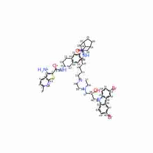 Cc1ccc2c(N)c(C(=O)NC3CCc4cc(N5CC6CCC(C5)C6C(=O)NCCCCCN5CCN(CC(O)Cn6c7ccc(Br)cc7c7cc(Br)ccc76)CC5)ccc4C3)sc2n1